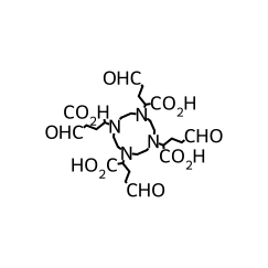 O=CCCC(C(=O)O)N1CCN(C(CCC=O)C(=O)O)CCN(C(CCC=O)C(=O)O)CCN(C(CCC=O)C(=O)O)CC1